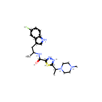 CCCCC(Cc1c[nH]c2ccc(F)cc12)NC(=O)c1nnc(C(C)N2CCN(C)CC2)s1